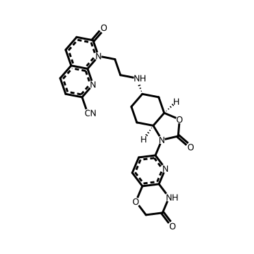 N#Cc1ccc2ccc(=O)n(CCN[C@H]3CC[C@H]4[C@@H](C3)OC(=O)N4c3ccc4c(n3)NC(=O)CO4)c2n1